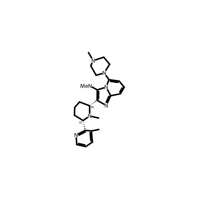 CNc1c([C@H]2CCC[C@@H](c3ncccc3C)N2C)nc2cccc(N3CCN(C)CC3)n12